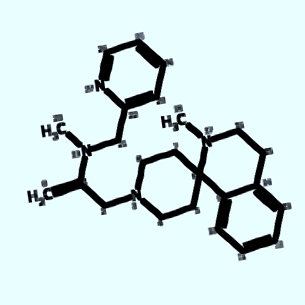 C=C(CN1CCC2(CC1)c1ccccc1CCN2C)N(C)Cc1ccccn1